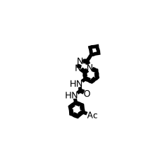 CC(=O)c1cccc(NC(=O)Nc2cccn3c(C4CCC4)nnc23)c1